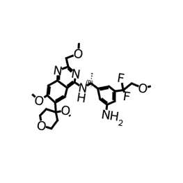 COCc1nc(N[C@H](C)c2cc(N)cc(C(F)(F)COC)c2)c2cc(C3(OC)CCOCC3)c(OC)cc2n1